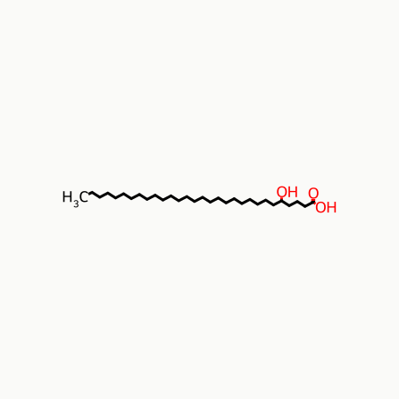 CCCCCCCCCCCCCCCCCCCCCCCCCC(O)CCCC(=O)O